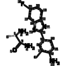 C[C@H](N)C(N)=O.Cc1cc(-c2nc3ccc(F)cc3s2)ccc1N